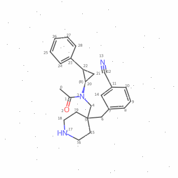 CC(=O)N(CC1(Cc2cccc(C#N)c2)CCNCC1)[C@@H]1CC1c1ccccc1